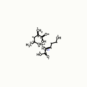 C/C(=C\CCO)C(=O)O.C=C(CC(C)O)C(=O)O